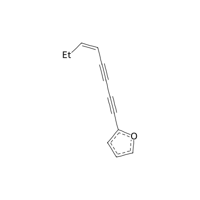 CC/C=C\C#CC#Cc1ccco1